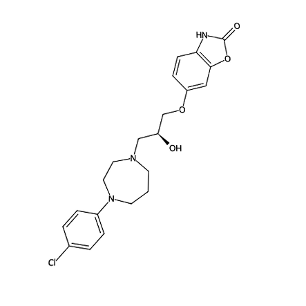 O=c1[nH]c2ccc(OC[C@@H](O)CN3CCCN(c4ccc(Cl)cc4)CC3)cc2o1